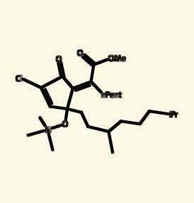 CCCCCC(C(=O)OC)=C1C(=O)C(Cl)=CC1(CCC(C)CCCC(C)C)O[Si](C)(C)C